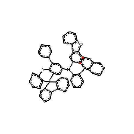 c1ccc(-c2cc(N(c3ccc4oc5ccccc5c4c3)c3ccccc3-c3cccc4ccccc34)cc3c2Sc2ccccc2C32c3ccccc3-c3ccccc32)cc1